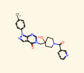 O=C(c1cccnc1)N1CCC(O)(Cn2cnc3c(cnn3-c3ccc(C(F)(F)F)cc3)c2=O)CC1